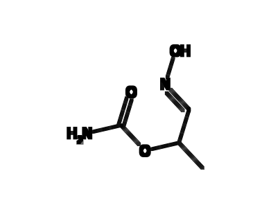 CC(C=NO)OC(N)=O